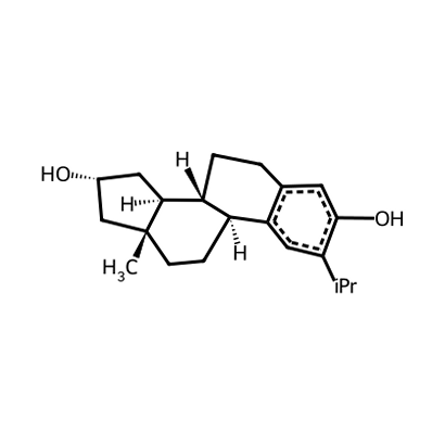 CC(C)c1cc2c(cc1O)CC[C@@H]1[C@@H]2CC[C@]2(C)C[C@H](O)C[C@@H]12